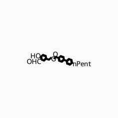 CCCCCc1ccc(-c2ccc(C(=O)OCCc3ccc(O)c(C=O)c3)cc2)cc1